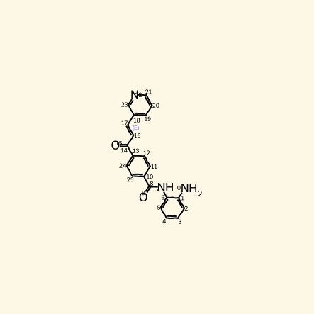 Nc1ccccc1NC(=O)c1ccc(C(=O)/C=C/c2cccnc2)cc1